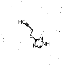 C#CCSc1nc[nH]n1